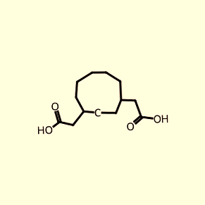 O=C(O)CC1CCCCCC(CC(=O)O)CC1